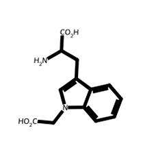 NC(Cc1cn(CC(=O)O)c2ccccc12)C(=O)O